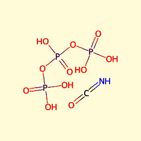 N=C=O.O=P(O)(O)OP(=O)(O)OP(=O)(O)O